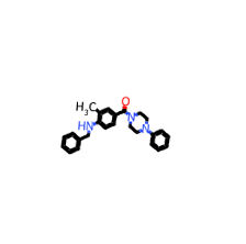 Cc1cc(C(=O)N2CCN(c3ccccc3)CC2)ccc1NCc1ccccc1